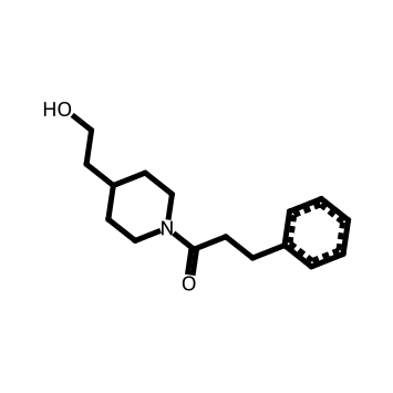 O=C(CCc1ccccc1)N1CCC(CCO)CC1